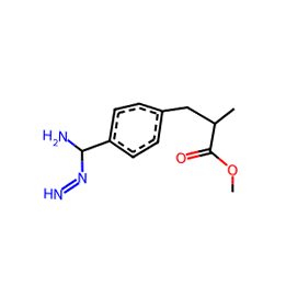 COC(=O)C(C)Cc1ccc(C(N)N=N)cc1